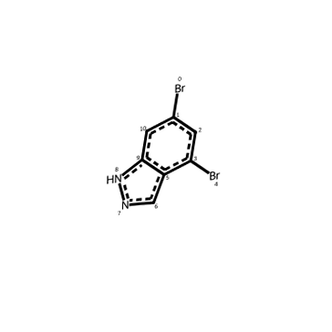 Brc1cc(Br)c2cn[nH]c2c1